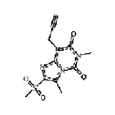 C#CCn1c(=O)n(C)c(=O)n2c(C)c(S(C)(=O)=O)nc12